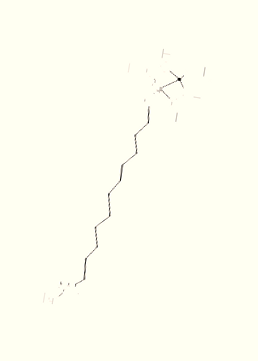 CC(C)(C)[Si](C)(C)OCCCCCCCCCC[CH2][Mg][Br]